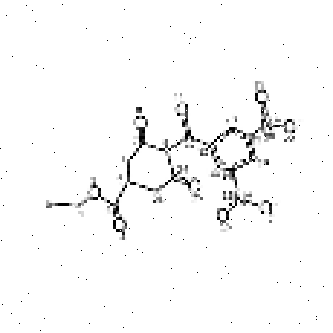 CCOC(=O)C1CC(=O)C(C(=O)c2cc([N+](=O)[O-])cc([N+](=O)[O-])c2)C(=O)C1